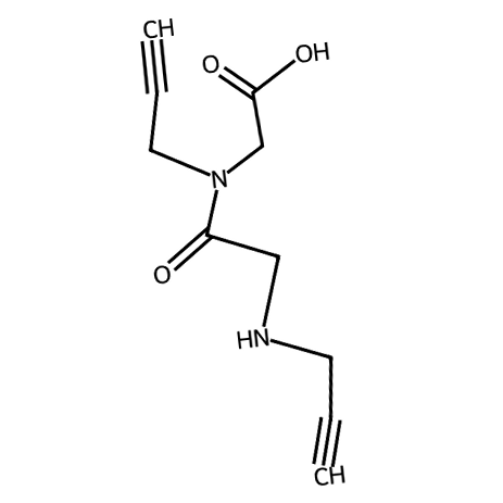 C#CCNCC(=O)N(CC#C)CC(=O)O